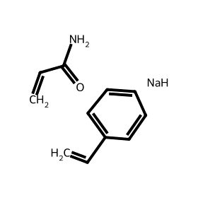 C=CC(N)=O.C=Cc1ccccc1.[NaH]